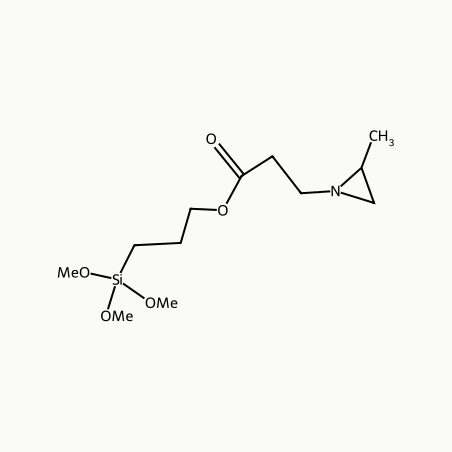 CO[Si](CCCOC(=O)CCN1CC1C)(OC)OC